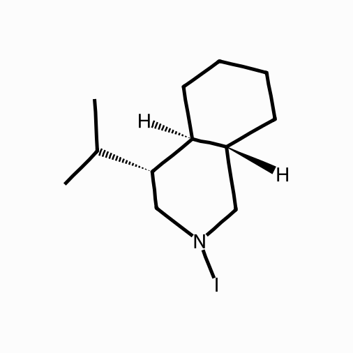 CC(C)[C@H]1CN(I)C[C@H]2CCCC[C@@H]21